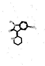 CC(C)N1C(=O)/C(=C2/CCCCN2)c2cc([N+](=O)[O-])ccc21